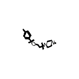 Cc1ccc(C(C)(C)OCCC(C)(C)N2CCN(C)CC2)cc1